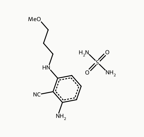 COCCCNc1cccc(N)c1C#N.NS(N)(=O)=O